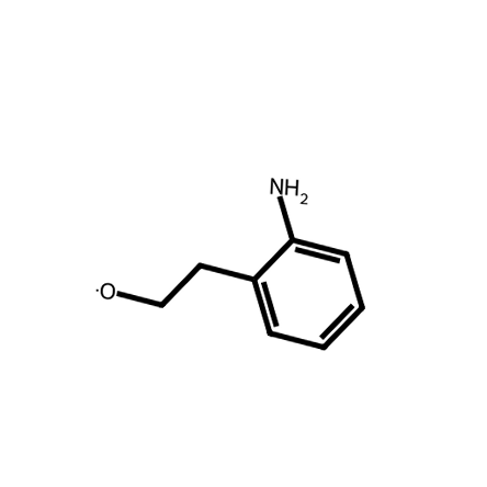 Nc1ccccc1CC[O]